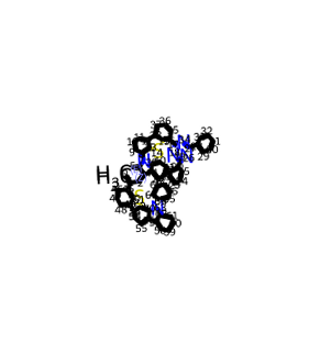 C=C(/C=c1\c(=C/C)n(-c2cccc3c2sc2c(-c4nc(-c5ccccc5)nc(-c5ccccc5)n4)cccc23)c2ccccc12)c1cccc2c1sc1c2ccc2c3ccccc3n(-c3ccccc3)c21